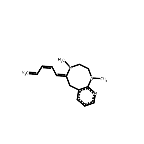 C=C/C=C\C=C1\Cc2cccnc2N(C)CCN1C